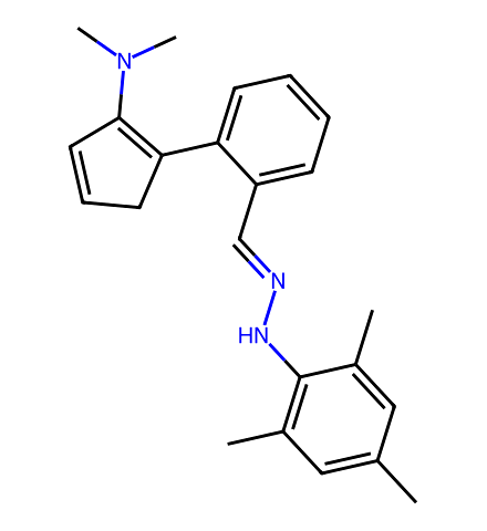 Cc1cc(C)c(NN=Cc2ccccc2C2=C(N(C)C)C=CC2)c(C)c1